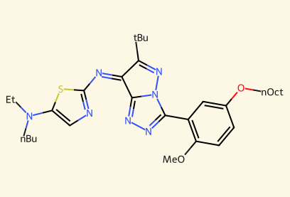 CCCCCCCCOc1ccc(OC)c(-c2nnc3n2N=C(C(C)(C)C)/C3=N/c2ncc(N(CC)CCCC)s2)c1